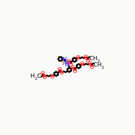 C=CC(=O)OCCCOc1ccc(C(=O)OCCc2ccc(OC(=O)c3ccc(OCCCOC(=O)C=C)cc3)c(/C=N/N(OC(=O)c3ccc(OCCCOC(=O)C=C)cc3)c3nc4ccccc4s3)c2)cc1